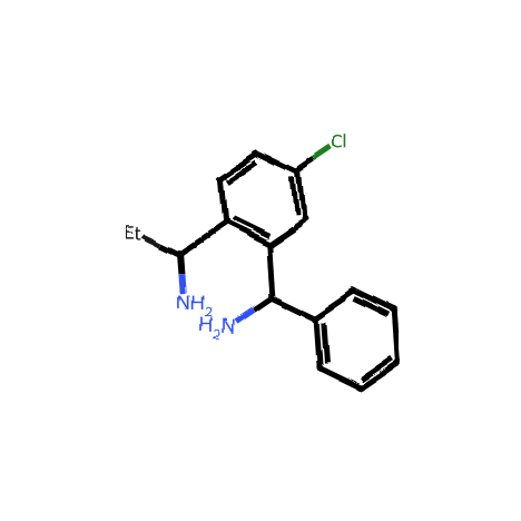 CCC(N)c1ccc(Cl)cc1C(N)c1ccccc1